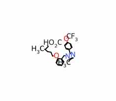 Cc1cnc(-c2ccc(OC(F)(F)F)cc2)n1Cc1ccccc1OCCCC(C)CC(=O)O